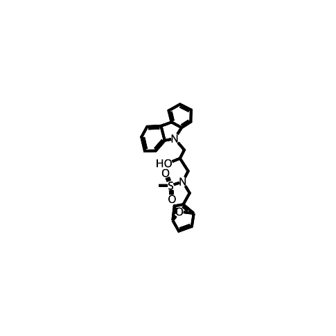 CS(=O)(=O)N(Cc1cc2ccc1o2)CC(O)Cn1c2ccccc2c2ccccc21